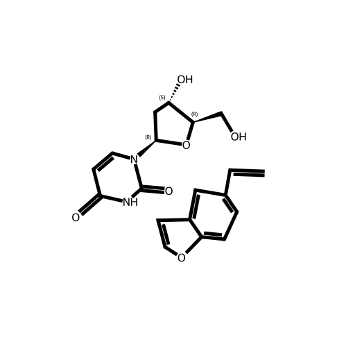 C=Cc1ccc2occc2c1.O=c1ccn([C@H]2C[C@H](O)[C@@H](CO)O2)c(=O)[nH]1